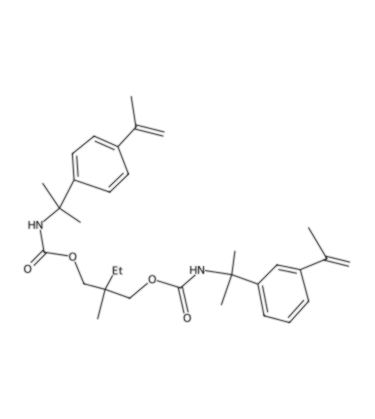 C=C(C)c1ccc(C(C)(C)NC(=O)OCC(C)(CC)COC(=O)NC(C)(C)c2cccc(C(=C)C)c2)cc1